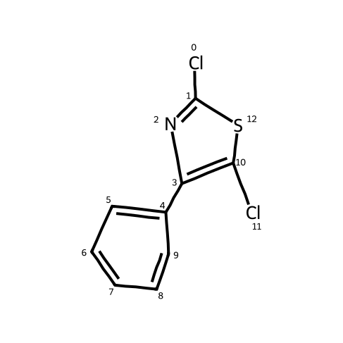 Clc1nc(-c2ccccc2)c(Cl)s1